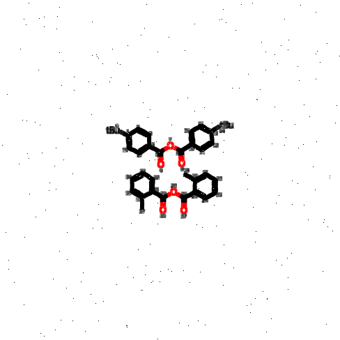 CC(C)(C)c1ccc(C(=O)OC(=O)c2ccc(C(C)(C)C)cc2)cc1.Cc1ccccc1C(=O)OC(=O)c1ccccc1C